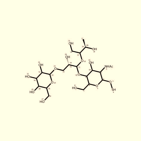 CC(=O)NC1C(OS)OC(CO)C(OC(OC(CO)[C@@H](C)O)[C@@H](O)COC2OC(CO)C(O)C(O)C2O)C1O